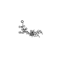 CCN(CCNC(=O)[C@H](CCCN/C(N)=N/S(=O)(=O)c1c(C)c(C)c2c(c1C)CC(C)(C)O2)NC(=O)OC(C)(C)C)C(=O)CCc1ccccc1